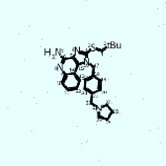 CC(C)(C)CSc1nc2c(N)nc3ccccc3c2n1Cc1ccc(CN2CCCC2)cc1